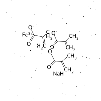 C=C(C)C(=O)[O-].C=C(C)C(=O)[O-].C=C(C)C(=O)[O-].[Fe+3].[NaH]